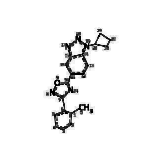 Cc1ccccc1-c1noc(-c2ccc3c(c2)nnn3C2CCC2)n1